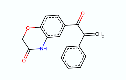 C=C(C(=O)c1ccc2c(c1)NC(=O)CO2)c1ccccc1